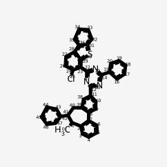 CC1c2ccccc2-c2ccc(-c3nc(-c4ccccc4)nc(-c4c(Cl)ccc5c4sc4ccccc45)n3)cc2CC1c1ccccc1